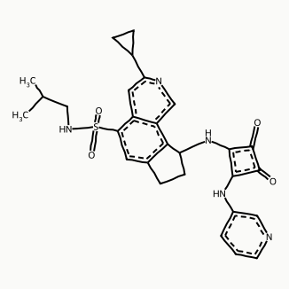 CC(C)CNS(=O)(=O)c1cc2c(c3cnc(C4CC4)cc13)C(Nc1c(Nc3cccnc3)c(=O)c1=O)CC2